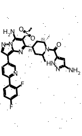 CC1C[C@@H](c2nc3c(-c4ccc(-c5ccc(F)cc5F)nc4)cnn3c(N)c2S(C)(=O)=O)C[C@H](C)N1C(=O)c1cc(N)n[nH]1